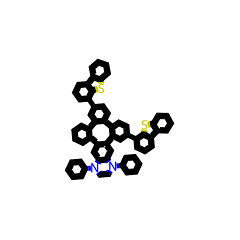 c1ccc(-n2ccn(-c3ccccc3)c3cc4c5cc(-c6cccc7c6sc6ccccc67)ccc5c5ccc(-c6cccc7c6sc6ccccc67)cc5c5ccccc5c4cc32)cc1